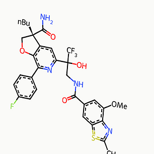 CCCC[C@]1(C(N)=O)COc2c1cc(C(O)(CNC(=O)c1cc(OC)c3nc(C)sc3c1)C(F)(F)F)nc2-c1ccc(F)cc1